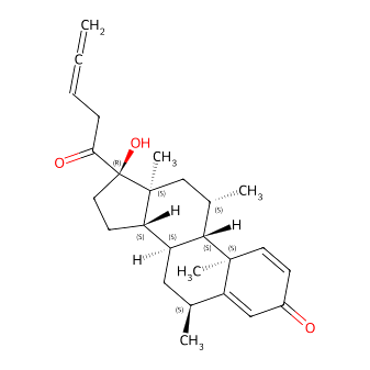 C=C=CCC(=O)[C@@]1(O)CC[C@H]2[C@@H]3C[C@H](C)C4=CC(=O)C=C[C@]4(C)[C@H]3[C@@H](C)C[C@@]21C